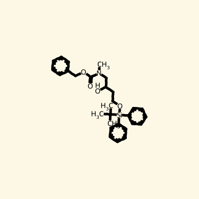 CN(CC(O)CCO[Si](c1ccccc1)(c1ccccc1)C(C)(C)C)C(=O)OCc1ccccc1